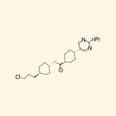 CCCc1ncc([C@H]2CC[C@H](C(=O)C[C@H]3CC[C@H](CCCCl)CC3)CC2)cn1